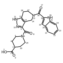 O=C(O)C1CCN(C(=O)c2n[nH]c3c2CN(C(=O)c2cc4ccccc4[nH]2)CC3)CC1